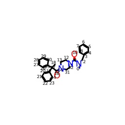 CN(Cc1ccccc1)C(=O)N1CCN(C(=O)C(C)(c2ccccc2)c2ccccc2)CC1